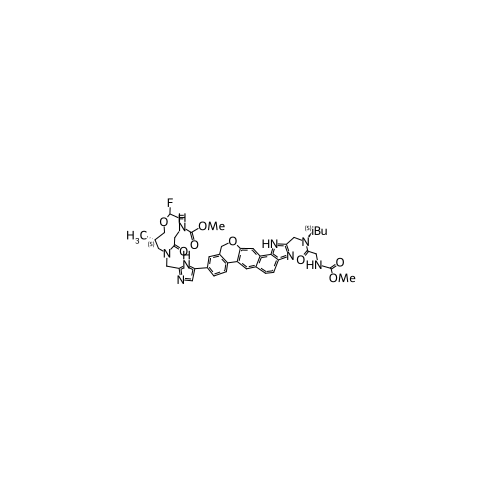 CC[C@H](C)N(Cc1nc2ccc3cc4c(cc3c2[nH]1)OCc1cc(-c2cnc(CN(C[C@H](C)COC(F)F)C(=O)CNC(=O)OC)[nH]2)ccc1-4)C(=O)CNC(=O)OC